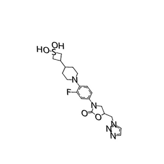 O=C1OC(Cn2ccnn2)CN1c1ccc(N2CCC(C3CS(O)(O)C3)CC2)c(F)c1